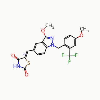 COc1ccc(Cn2nc(OC)c3cc(/C=C4\SC(=O)NC4=O)ccc32)c(C(F)(F)F)c1